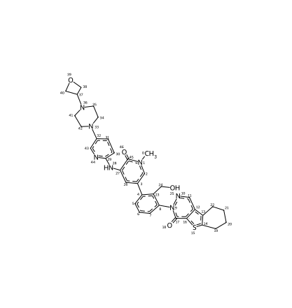 Cn1cc(-c2cccc(-n3ncc4c5c(sc4c3=O)CCCC5)c2CO)cc(Nc2ccc(N3CCN(C4COC4)CC3)cn2)c1=O